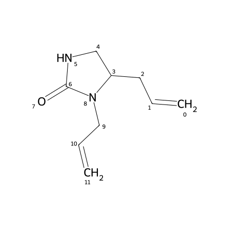 C=CCC1CNC(=O)N1CC=C